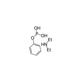 CCNCC.OP(O)Oc1ccccc1